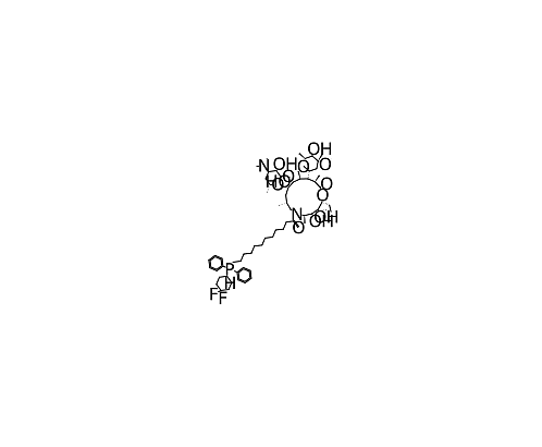 CC[C@H]1OC(=O)[C@H](C)C([C@H]2C[C@@](C)(OC)[C@@H](O)[C@H](C)O2)[C@H](C)[C@@H](O[C@@H]2O[C@H](C)C[C@H](N(C)C)[C@H]2O)[C@](C)(O)C[C@@H](C)CN(C(=O)CCCCCCCCCCC[PH](c2ccccc2)(c2ccccc2)C2CCC(F)(F)CC2)[C@H](C)[C@@H](O)[C@]1(C)O